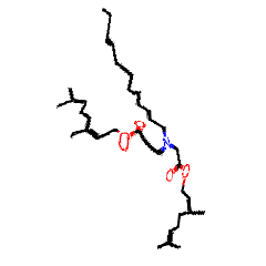 CCCCCCCCCCCCN(CC(=O)OCC=C(C)CCC=C(C)C)CC(=O)OCC=C(C)CCC=C(C)C